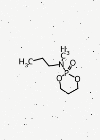 CCCN(C)P1(=O)OCCCO1